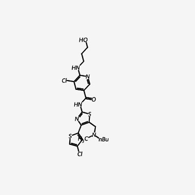 CCCCN(C)Cc1sc(NC(=O)c2cnc(NCCCO)c(Cl)c2)nc1-c1cc(Cl)cs1